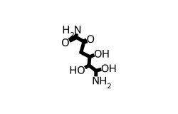 NC(=O)C(=O)CC(O)C(O)C(N)O